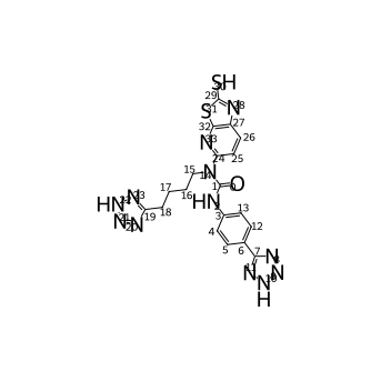 O=C(Nc1ccc(-c2nn[nH]n2)cc1)N(CCCCc1nn[nH]n1)c1ccc2nc(S)sc2n1